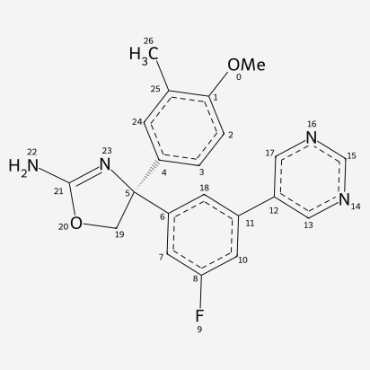 COc1ccc([C@]2(c3cc(F)cc(-c4cncnc4)c3)COC(N)=N2)cc1C